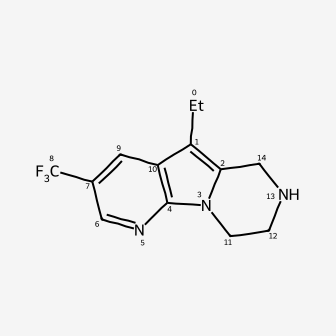 CCc1c2n(c3ncc(C(F)(F)F)cc13)CCNC2